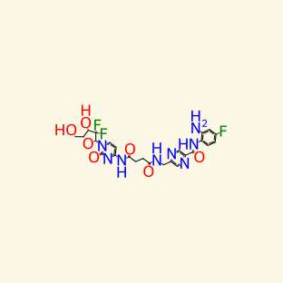 Nc1cc(F)ccc1NC(=O)c1cnc(CNC(=O)CCC(=O)Nc2ccn(C3OC(CO)C(O)C3(F)F)c(=O)n2)cn1